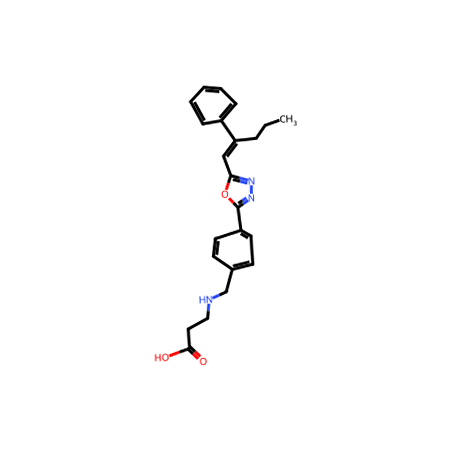 CCC/C(=C\c1nnc(-c2ccc(CNCCC(=O)O)cc2)o1)c1ccccc1